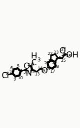 Cc1oc(-c2ccc(Cl)cc2)nc1CCOc1ccc2c(c1)CCC2CC(=O)O